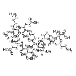 CC(C)C[C@H](NC(=O)[C@H](CCC(=O)O)NC(=O)[C@H](CCCCN)NC(=O)[C@H](CC(C)C)NC(=O)[C@H](CCC(=O)O)NC(=O)[C@H](CC(=O)O)NC(=O)[C@H](CC(=O)O)NC(=O)[C@@H](NC(=O)[C@@H]1CCCN1C(=O)[C@H](CCCCN)NC(=O)[C@@H](N)[C@@H](C)O)[C@@H](C)O)C(=O)O